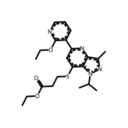 CCOC(=O)CCSc1cc(-c2cccnc2OCC)nc2c(C)nn(C(C)C)c12